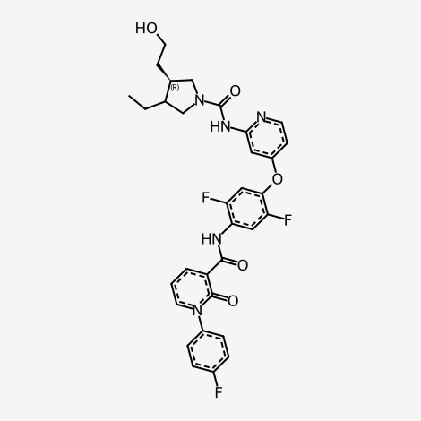 CCC1CN(C(=O)Nc2cc(Oc3cc(F)c(NC(=O)c4cccn(-c5ccc(F)cc5)c4=O)cc3F)ccn2)C[C@@H]1CCO